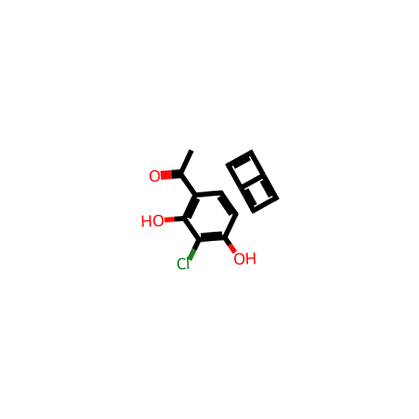 CC(=O)c1ccc(O)c(Cl)c1O.c1cc2ccc1-2